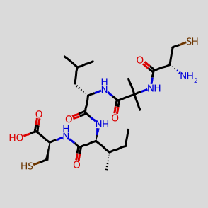 CC[C@H](C)[C@H](NC(=O)[C@H](CC(C)C)NC(=O)C(C)(C)NC(=O)[C@@H](N)CS)C(=O)N[C@@H](CS)C(=O)O